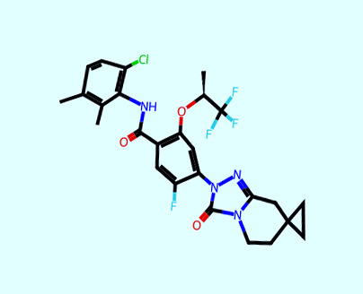 Cc1ccc(Cl)c(NC(=O)c2cc(F)c(-n3nc4n(c3=O)CCC3(CC3)C4)cc2O[C@@H](C)C(F)(F)F)c1C